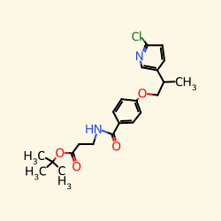 CC(COc1ccc(C(=O)NCCC(=O)OC(C)(C)C)cc1)c1ccc(Cl)nc1